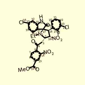 CCN1[C@@H](CC(=O)c2ccc(C(=O)OC)cc2[N+](=O)[O-])[C@@H]([N+](=O)[O-])[C@H](c2cccc(Cl)c2F)[C@]12C(=O)Nc1cc(Cl)ccc12